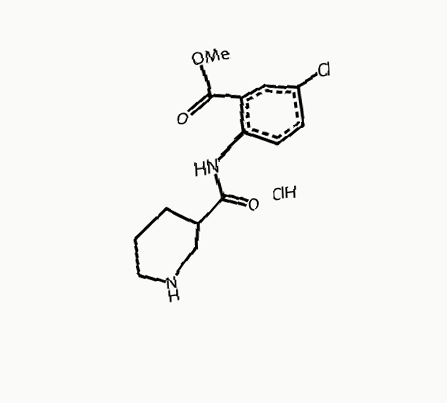 COC(=O)c1cc(Cl)ccc1NC(=O)C1CCCNC1.Cl